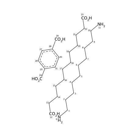 NCCCCCCCCCCN.O=C(O)CCCCCCCCCCC(=O)O.O=C(O)c1ccc(C(=O)O)cc1